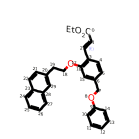 CCOC(=O)/C=C/c1ccc(COc2ccccc2)cc1OCCc1ccc2ccccc2c1